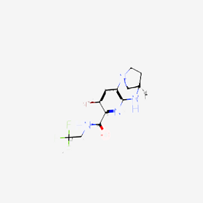 O=C(NCC(F)(F)F)c1nc2c(cc1Br)N1CC[C@@H](C1)N2